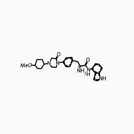 COC1CCC(N2CCN(c3ccc(C[C@H](N)C(=O)Nc4cccc5[nH]ccc45)cc3)C(=O)C2)CC1